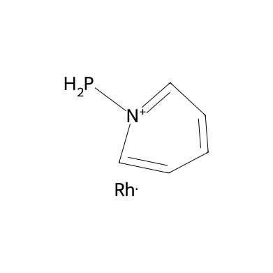 P[n+]1ccccc1.[Rh]